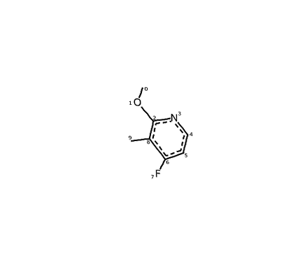 COc1nccc(F)c1C